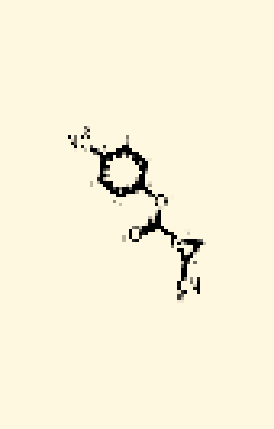 N#Cc1ccc(OC(=O)N2CC2C#N)cc1